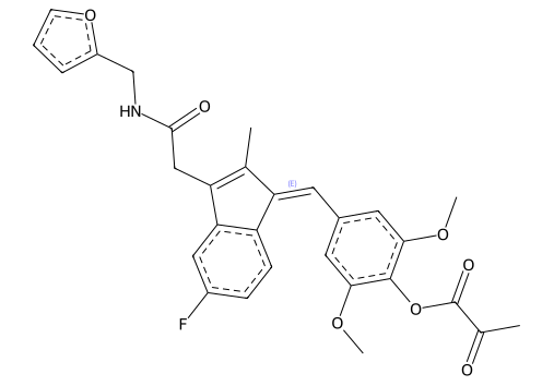 COc1cc(/C=C2/C(C)=C(CC(=O)NCc3ccco3)c3cc(F)ccc32)cc(OC)c1OC(=O)C(C)=O